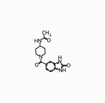 CC(=O)NC1CCN(C(=O)c2ccc3[nH]c(=O)[nH]c3c2)CC1